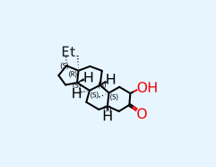 CC[C@H]1CC[C@H]2[C@@H]3CC[C@H]4CC(=O)C(O)C[C@]4(C)[C@H]3CC[C@]12C